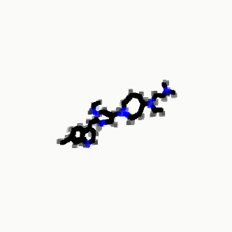 C/C=N\N1C=C(N2CCCC(N(CC)CCN(C)C)CC2)C=N/C1=C\C1=c2ccc(C)cc2=NC[C@H]1C